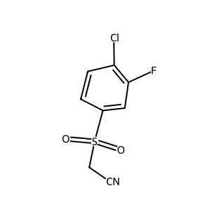 N#CCS(=O)(=O)c1ccc(Cl)c(F)c1